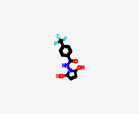 O=C(NN1C(O)C=CC1O)c1ccc(C(F)(F)F)cc1